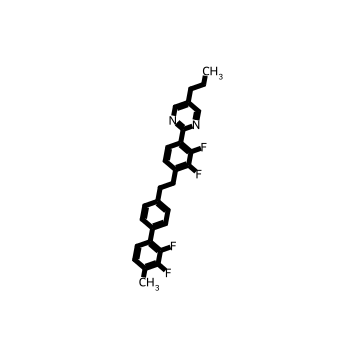 CCCc1cnc(-c2ccc(CCc3ccc(-c4ccc(C)c(F)c4F)cc3)c(F)c2F)nc1